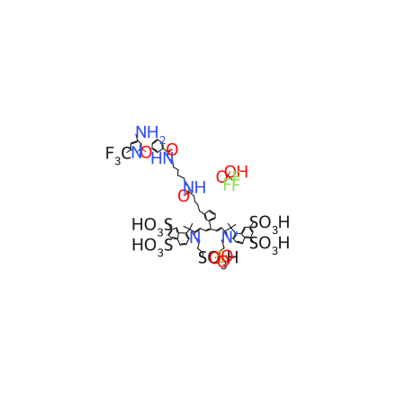 CC1(C)C(/C=C/C(=C/C=C2\N(CCCS(=O)(=O)O)c3ccc4c(S(=O)(=O)O)cc(S(=O)(=O)O)cc4c3C2(C)C)c2cccc(CCCCC(=O)NCCCCCCNC(=O)c3cccc(Oc4cc(CN)cc(C(F)(F)F)n4)c3)c2)=[N+](CCCS(=O)(=O)[O-])c2ccc3c(S(=O)(=O)O)cc(S(=O)(=O)O)cc3c21.O=C(O)C(F)(F)F